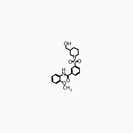 COc1ccccc1NC(=O)c1cccc(S(=O)(=O)N2CCCC(CO)C2)c1